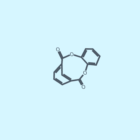 O=C1Oc2ccccc2OC(=O)c2cccc1c2